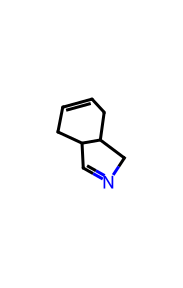 C1=CCC2CN=CC2C1